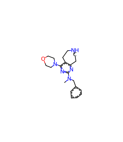 CN(Cc1ccccc1)c1nc2c(c(N3CCOCC3)n1)CCNCC2